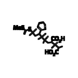 C=C(SC)SC(C)(C)CC(c1ccccc1)C(C)(C)C(C)(C)CC(C(=O)O)C(C)(C)C(C)C(=O)O